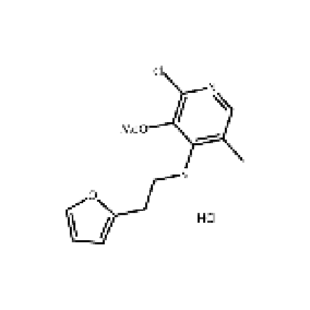 COc1c(Cl)ncc(C)c1SCCc1ccco1.Cl